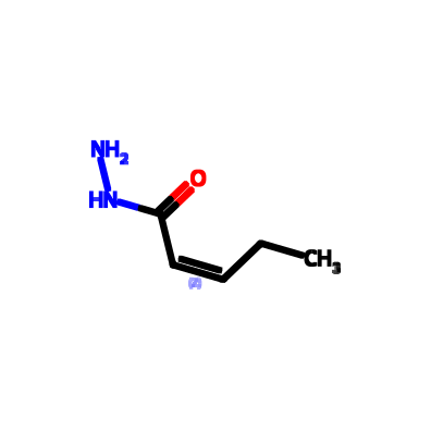 CC/C=C\C(=O)NN